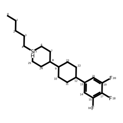 CCCCC[SiH]1CCC(C2CCC(c3cc(F)c(F)c(F)c3)CC2)CC1